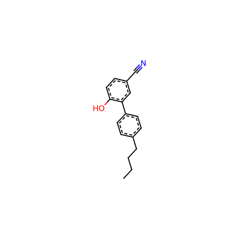 CCCCc1ccc(-c2cc(C#N)ccc2O)cc1